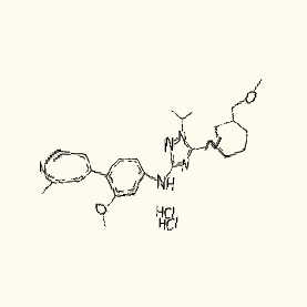 COCC1CCCN(c2nc(Nc3ccc(-c4ccnc(C)c4)c(OC)c3)nn2C(C)C)C1.Cl.Cl